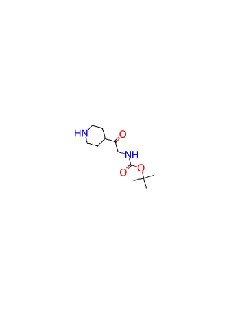 CC(C)(C)OC(=O)NCC(=O)C1CCNCC1